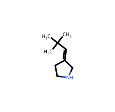 CC(C)(C)/C=C1\CCNC1